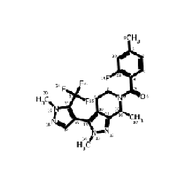 Cc1ccc(C(=O)N2CCc3c(nn(C)c3-c3cnn(C)c3C(F)(F)F)[C@@H]2C)c(F)c1